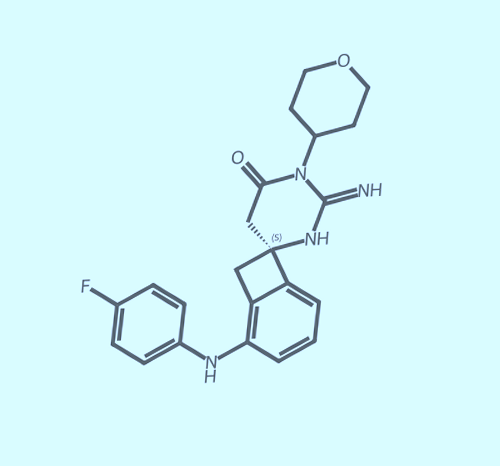 N=C1N[C@]2(CC(=O)N1C1CCOCC1)Cc1c(Nc3ccc(F)cc3)cccc12